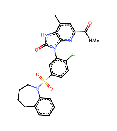 CNC(=O)c1cc(C)c2[nH]c(=O)n(-c3cc(S(=O)(=O)N4CCCCc5ccccc54)ccc3Cl)c2n1